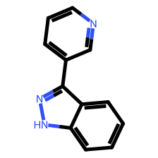 c1cncc(-c2n[nH]c3ccccc23)c1